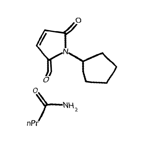 CCCC(N)=O.O=C1C=CC(=O)N1C1CCCC1